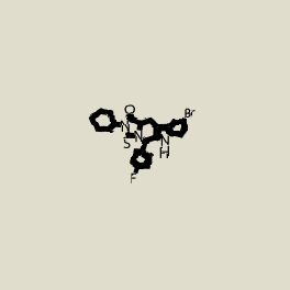 O=C1C2Cc3c([nH]c4ccc(Br)cc34)C(c3ccc(F)cc3)N2C(=S)N1C1CCCCC1